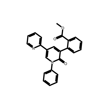 COC(=O)c1ccccc1-c1cc(-c2ccccn2)cn(-c2ccccc2)c1=O